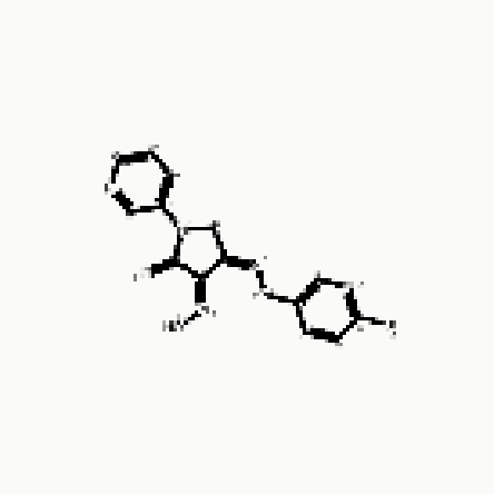 O=C1C(=NO)C(=NNc2ccc(Br)nc2)CN1c1cccnc1